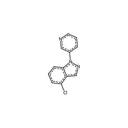 Clc1cccc2c1cnn2-c1cccnc1